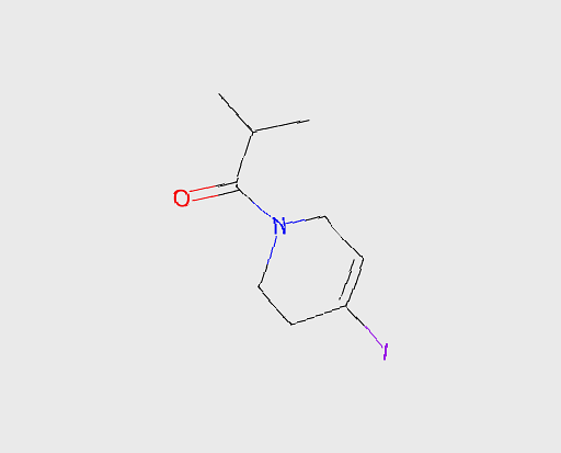 CC(C)C(=O)N1CC=C(I)CC1